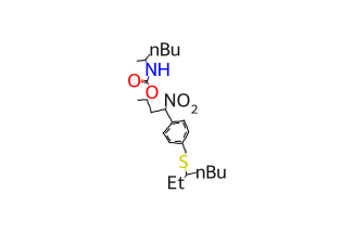 CCCCC(C)NC(=O)OC(C)CC(c1ccc(CSC(CC)CCCC)cc1)[N+](=O)[O-]